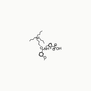 CCCC[N+](CCCC)(CCCC)CCCC.COc1cccc(C(=O)NCc2ccc(S(=O)(=O)O)s2)c1